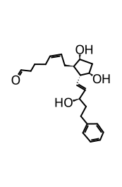 O=CCCC/C=C\C[C@@H]1[C@@H](/C=C/[C@H](O)CCc2ccccc2)[C@H](O)C[C@@H]1O